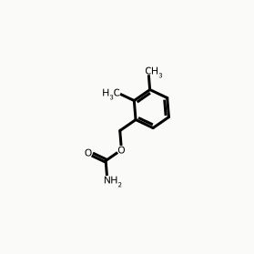 Cc1cccc(COC(N)=O)c1C